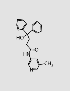 Cc1cncc(NC(=O)CCC(O)(c2ccccc2)c2ccccc2)c1